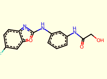 O=C(CO)Nc1cccc(Nc2nc3ccc(F)cc3o2)c1